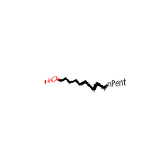 CCCCC[CH]CCCCCCCCO